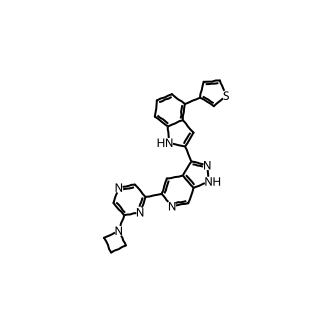 c1cc(-c2ccsc2)c2cc(-c3n[nH]c4cnc(-c5cncc(N6CCC6)n5)cc34)[nH]c2c1